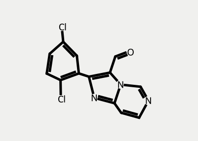 O=Cc1c(-c2cc(Cl)ccc2Cl)nc2ccncn12